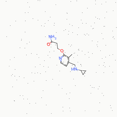 Cc1c(CNC2CC2)ccnc1OCCC(N)=O